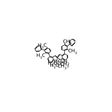 Cc1ccc(-c2cccc3c2C=C[CH]3[Hf]([CH3])([CH3])([CH3])([CH3])(=[SiH2])[CH]2C=Cc3c(-c4ccc(C)c(-c5ccccc5)c4C)cccc32)c(C)c1-c1ccccc1